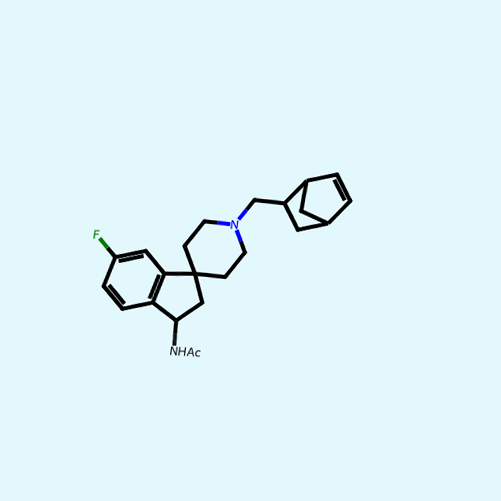 CC(=O)NC1CC2(CCN(CC3CC4C=CC3C4)CC2)c2cc(F)ccc21